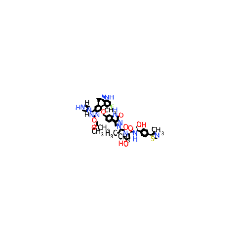 CO[C@@H](C)COc1nc(N2C[C@@H]3C[C@H]2CN3)c2cc(C3CC3)c(-c3c(C)c(F)cc4[nH]ncc34)c(OCc3ccc4c(c3)[nH]c(=O)c3nn(C(C(=O)N5C[C@H](O)C[C@H]5C(=O)N[C@@H](CO)c5ccc(-c6scnc6C)cc5)C(C)C)cc34)c2n1